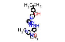 CC(C)c1ccc(C2(O)CCN(c3cccn4nc(Nc5ccc(C(=O)N(C)C6CCN(C)CC6)cc5)nc34)CC2)cc1